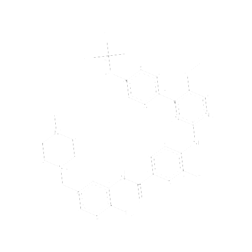 COc1cnc(Nc2ccc(C(=O)Nc3cc(CN4CCN(C)CC4)ccc3F)cc2F)nc1-c1ccc(OC(F)(F)F)cc1